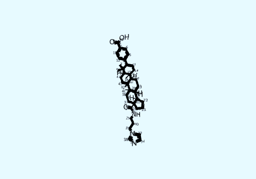 CC1(C)C(c2ccc(C(=O)O)cc2)=CC[C@]2(C)[C@H]3CC[C@@H]4[C@H]5CCC[C@]5(C(=O)NCCCn5ccnc5)CC[C@@]4(C)[C@]3(C)CC[C@@H]12